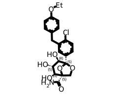 CCOc1ccc(Cc2cc([C@]34OC[C@](C(N)=O)(O3)[C@@H](O)[C@H](O)[C@H]4O)ccc2Cl)cc1